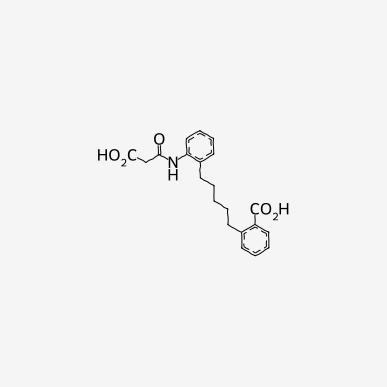 O=C(O)CC(=O)Nc1ccccc1CCCCCc1ccccc1C(=O)O